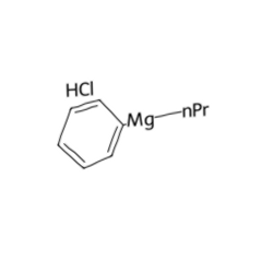 CC[CH2][Mg][c]1ccccc1.Cl